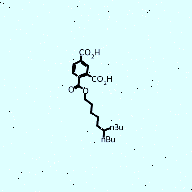 CCCCC(CCCC)CCCCCOC(=O)c1ccc(C(=O)O)cc1C(=O)O